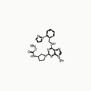 CC(C)n1cnc2c(NCc3ccccc3-n3cccn3)nc(N3CCC(NC(=O)OC(C)(C)C)C3)nc21